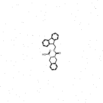 O=C(O)[C@H]1Cc2ccccc2CN1C(=O)OCC1c2ccccc2-c2ccccc21